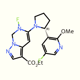 CCOC(=O)c1cnn2c1C=C(N1CCC[C@@H]1c1cc(F)cnc1OC)N(F)C2